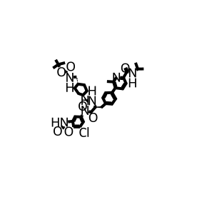 Cc1nc(C(=O)NC(C)C)ccc1-c1ccc(C[C@H](NC(=O)[C@H]2CC[C@H](CNC(=O)OC(C)(C)C)CC2)C(=O)Nc2cc(Cl)c3oc(=O)[nH]c3c2)cc1